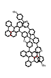 CC(C)(C)c1ccc(-c2ncc(-c3ccc4c(c3)C3(c5ccc(-c6c7ccccc7c(-c7ccccc7-c7ccccc7)c7ccccc67)cc5Oc5cc(-c6c7ccccc7c(-c7ccccc7-c7ccccc7)c7ccccc67)ccc53)c3cc(-c5cnc(-c6ccc(C(C)(C)C)cc6)nc5)ccc3-4)cn2)cc1